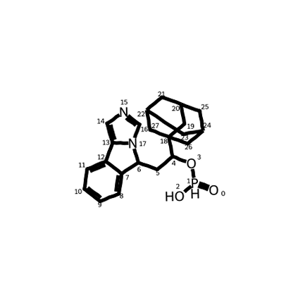 O=[PH](O)OC(CC1c2ccccc2-c2cncn21)C12CC3CC(CC(C3)C1)C2